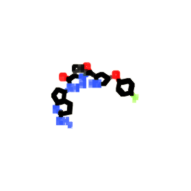 C[C@H](NC(=O)[C@H]1C[C@H](Oc2ccc(F)cc2)CN1)C(=O)N[C@@H]1CCc2nc(N)ccc21